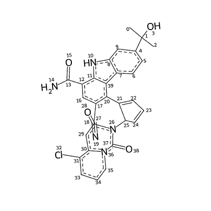 CC(C)(O)c1ccc2c(c1)[nH]c1c(C(N)=O)cc(C#N)c(C3=CC=CC3n3c(=O)cc4c(Cl)cccn4c3=O)c12